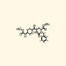 CCCCOC(=O)NC1CCN(C(=O)C(CCC(=O)OC(C)(C)C)NC(=O)OCc2ccccc2)CC1